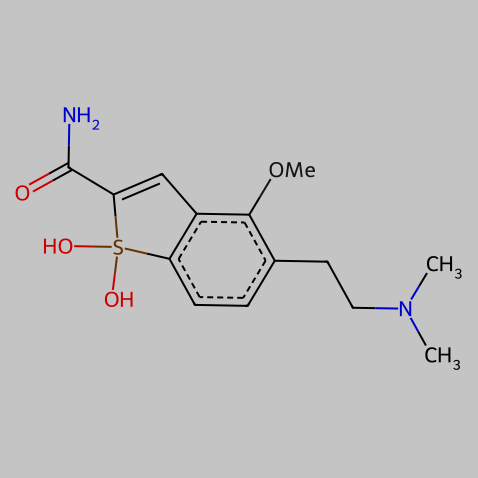 COc1c(CCN(C)C)ccc2c1C=C(C(N)=O)S2(O)O